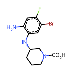 Nc1cc(F)c(Br)cc1N[C@@H]1CCCN(C(=O)O)C1